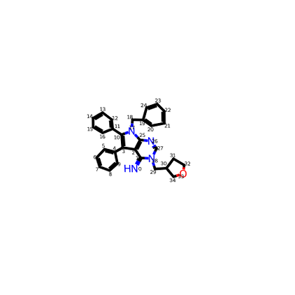 N=c1c2c(-c3ccccc3)c(-c3ccccc3)n(Cc3ccccc3)c2ncn1CC1CCOC1